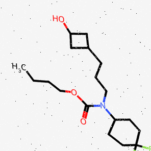 CCCCOC(=O)N(CCCC1CC(O)C1)C1CCC(F)(F)CC1